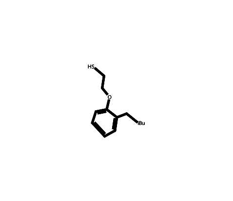 CCC(C)Cc1ccccc1OCCS